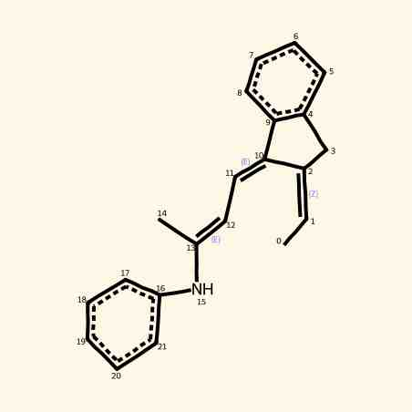 C/C=C1/Cc2ccccc2/C1=C/C=C(\C)Nc1ccccc1